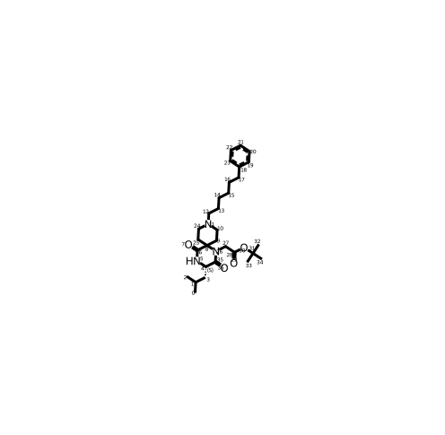 CC(C)C[C@@H]1NC(=O)C2(CCN(CCCCCCc3ccccc3)CC2)N(CC(=O)OC(C)(C)C)C1=O